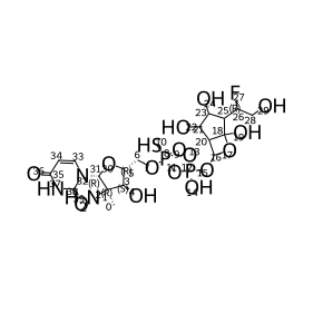 C[C@@]1(N)[C@H](O)[C@@H](COP(=O)(S)OP(=O)(O)OC2OC3(O)C2C(O)C(O)C3[C@@H](F)CO)O[C@H]1n1ccc(=O)[nH]c1=O